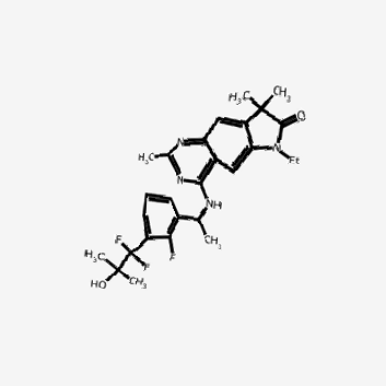 CCN1C(=O)C(C)(C)c2cc3nc(C)nc(NC(C)c4cccc(C(F)(F)C(C)(C)O)c4F)c3cc21